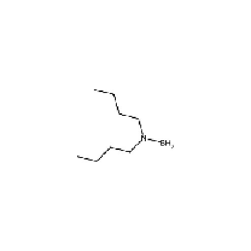 BN(CCCC)CCCC